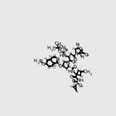 C=C1CC(NC(=O)[C@@H]2CC(Oc3nccc4cc(OC)ccc34)CN2C(=O)[C@H](CC(=O)N2C[C@@H]3C[C@H]2C(=O)O3)NC(=O)OC(C)(C)C)(C(=O)NS(=O)(=O)C2CC2)C1